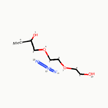 COC(O)COCCOCCO.[N-]=[N+]=[N-]